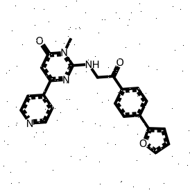 Cn1c(NCC(=O)c2ccc(-c3ccco3)cc2)nc(-c2ccncc2)cc1=O